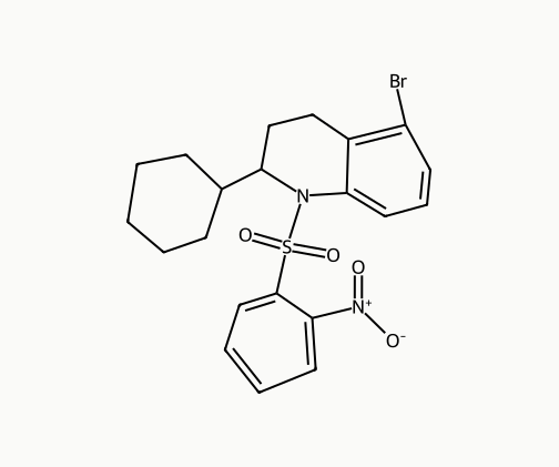 O=[N+]([O-])c1ccccc1S(=O)(=O)N1c2cccc(Br)c2CCC1C1CCCCC1